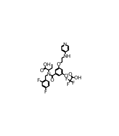 CCC(C(=O)O)N(Cc1ccc(F)cc1F)C(=O)c1cc(Cl)cc(OCCNc2ccncc2)c1.O=C(O)C(F)(F)F